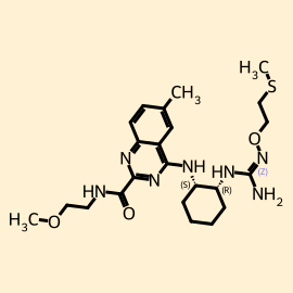 COCCNC(=O)c1nc(N[C@H]2CCCC[C@H]2N/C(N)=N\OCCSC)c2cc(C)ccc2n1